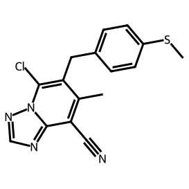 CSc1ccc(Cc2c(C)c(C#N)c3ncnn3c2Cl)cc1